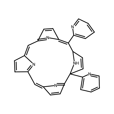 C1=CC2=NC1=CC1=NC(=C(c3ccccn3)C3C=CC(c4ccccn4)(N3)C3=NC(=C2)C=C3)C=C1